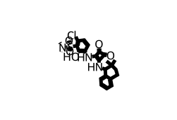 CN(C)S(=O)(=O)c1c(Cl)ccc(Nc2c(NC3c4ccccc4CCC3(C)C)c(=O)c2=O)c1O